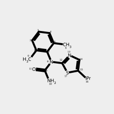 Cc1cccc(C)c1N(C(N)=O)c1ncc(C(C)C)s1